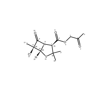 CC(=O)COC(=O)[C@@H]1N2C(=O)[C@@](Cl)(I)[C@H]2SC1(C)C